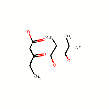 CCC(=O)CC(=O)[O-].CCC[O-].CCC[O-].[Al+3]